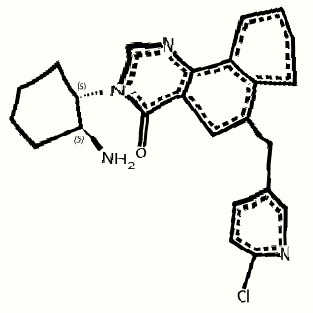 N[C@H]1CCCC[C@@H]1n1cnc2c(cc(Cc3ccc(Cl)nc3)c3ccccc32)c1=O